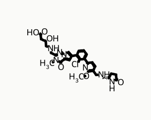 COc1nc(-c2cccc(-c3cc4c(=O)n(C)c(CNCC(O)CC(=O)O)nn4c3)c2Cl)ccc1CNC[C@@H]1CCC(=O)N1